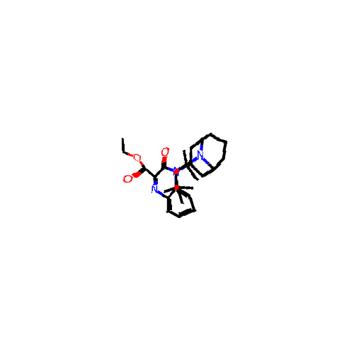 CCOC(=O)c1nc2ccccc2n(C2CC3CCCC(C2)N3C(C)(C)CC(C)(C)C)c1=O